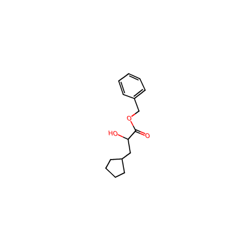 O=C(OCc1ccccc1)C(O)CC1CCCC1